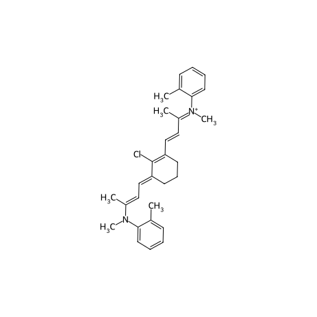 C/C(=C\C=C1/CCCC(/C=C/C(C)=[N+](\C)c2ccccc2C)=C1Cl)N(C)c1ccccc1C